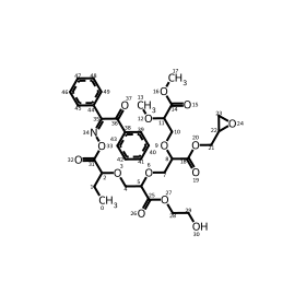 CCC(OCC(OCC(OCC(OC)C(=O)OC)C(=O)OCC1CO1)C(=O)OCCO)C(=O)ON=C(C(=O)c1ccccc1)c1ccccc1